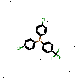 FC(F)(F)c1ccc([S+](c2ccc(Cl)cc2)c2ccc(Cl)cc2)cc1